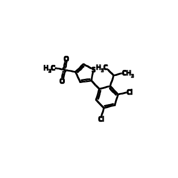 CC(C)c1c(Cl)cc(Cl)cc1-c1cc(S(C)(=O)=O)cs1